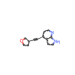 C(#Cc1ccnc2[nH]ccc12)c1ccoc1